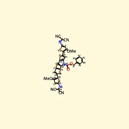 COc1cc(N=C(C#N)C#N)sc1-c1cc2c(s1)c1sc3cc(-c4sc(N=C(C#N)C#N)cc4OC)sc3c1n2C(=O)OCc1ccccc1